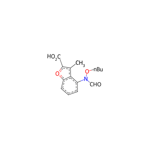 CCCCON(C=O)c1cccc2oc(C(=O)O)c(C)c12